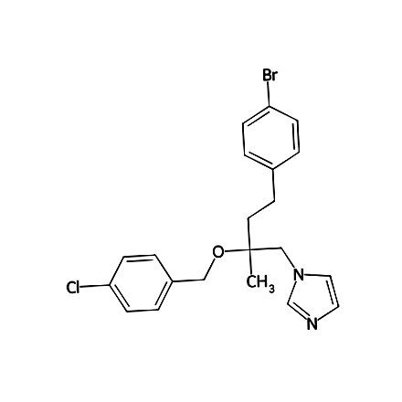 CC(CCc1ccc(Br)cc1)(Cn1ccnc1)OCc1ccc(Cl)cc1